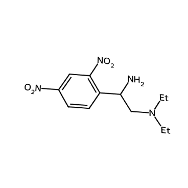 CCN(CC)CC(N)c1ccc([N+](=O)[O-])cc1[N+](=O)[O-]